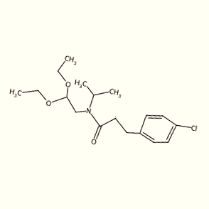 CCOC(CN(C(=O)[CH]Cc1ccc(Cl)cc1)C(C)C)OCC